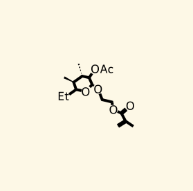 C=C(C)C(=O)OCCO[C@H]1OC(CC)[C@@H](C)[C@H](C)C1OC(C)=O